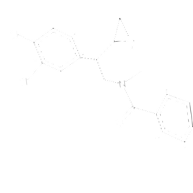 CN(CC(c1ccc(Cl)c(Cl)c1)C1CO1)C(=O)c1ccccc1